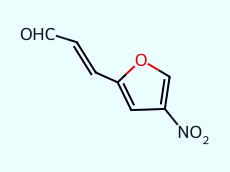 O=C/C=C/c1cc([N+](=O)[O-])co1